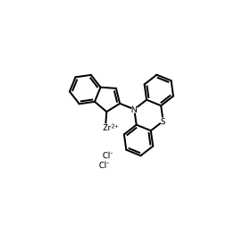 [Cl-].[Cl-].[Zr+2][CH]1C(N2c3ccccc3Sc3ccccc32)=Cc2ccccc21